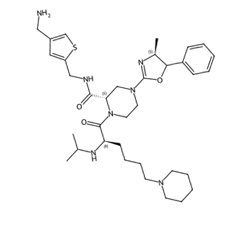 CC(C)N[C@H](CCCCN1CCCCC1)C(=O)N1CCN(C2=N[C@@H](C)C(c3ccccc3)O2)C[C@H]1C(=O)NCc1cc(CN)cs1